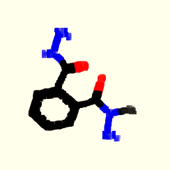 CCN(N)C(=O)c1ccccc1C(=O)NN